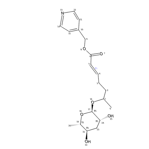 CC(CC/C=C/C(=O)OCc1ccncc1)O[C@@H]1O[C@@H](C)[C@H](O)C[C@H]1O